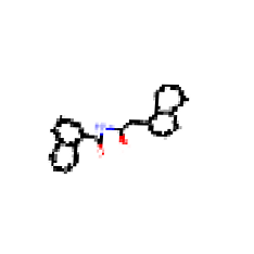 O=C(Cc1cccc2ccccc12)NC(=O)c1cccc2ccccc12